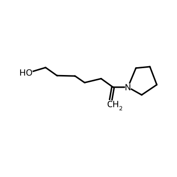 C=C(CCCCCO)N1CCCC1